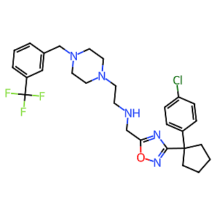 FC(F)(F)c1cccc(CN2CCN(CCNCc3nc(C4(c5ccc(Cl)cc5)CCCC4)no3)CC2)c1